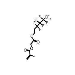 C=C(C)C(=O)OCC(=O)OCCC(F)(F)C(F)(F)C(F)(F)C(F)(F)F